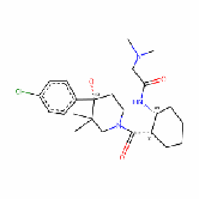 CN(C)CC(=O)N[C@@H]1CCCC[C@@H]1C(=O)N1CC[C@](O)(c2ccc(Cl)cc2)C(C)(C)C1